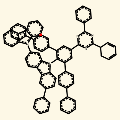 C1=CCC(c2nc(-c3ccccc3)nc(-c3cc(-c4ccc(-c5ccccc5)cc4)c(-n4c5ccc(-c6ccccc6)cc5c5ccc(-n6c7ccccc7c7ccccc76)cc54)c(-c4ccc(-c5ccccc5)cc4)c3)n2)C=C1